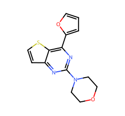 c1coc(-c2nc(N3CCOCC3)nc3ccsc23)c1